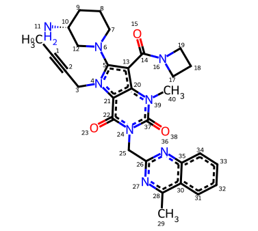 CC#CCn1c(N2CCC[C@@H](N)C2)c(C(=O)N2CCC2)c2c1c(=O)n(Cc1nc(C)c3ccccc3n1)c(=O)n2C